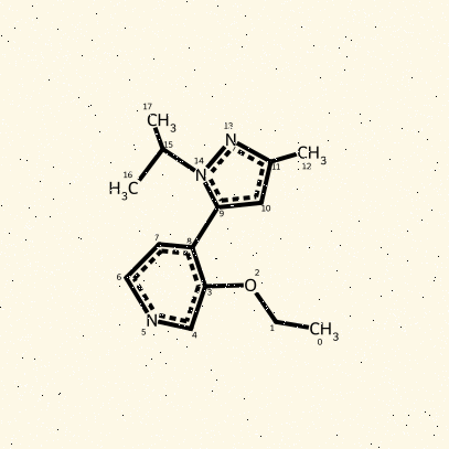 CCOc1cnccc1-c1cc(C)nn1C(C)C